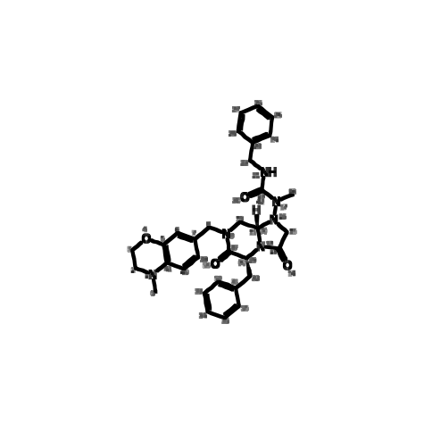 CN1CCOc2cc(CN3C[C@H]4N(C(=O)CN4N(C)C(=O)NCc4ccccc4)[C@@H](Cc4ccccc4)C3=O)ccc21